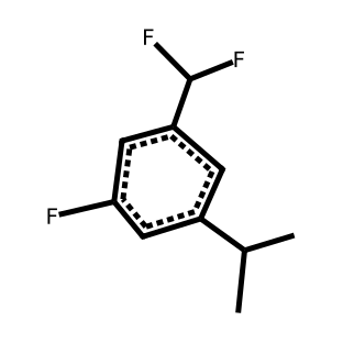 CC(C)c1cc(F)cc(C(F)F)c1